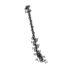 CC(C)(C)OC(=O)N[C@H]1CO[C@H]2[C@@H]1OC[C@@H]2NC(=O)CNC(=O)CNC(=O)CNC(=O)CNC(=O)CNC(=O)COCCOCCOCCOCCOCCOCCOCCOCCNC(=O)CCN1C(=O)C=CC1=O